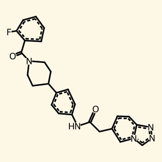 O=C(Cc1ccc2nncn2c1)Nc1ccc(C2CCN(C(=O)c3ccccc3F)CC2)cc1